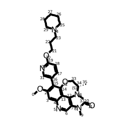 COc1cc2ncc(N(C)C=O)c3c2c(c1-c1ccc(OCCCN2CCCCC2)nc1)OC[C@H](C)N3C